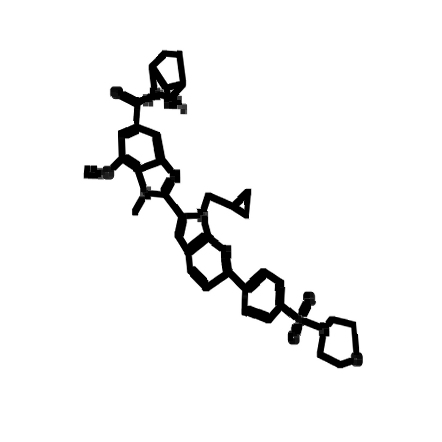 COc1cc(C(=O)N2CC3CCC2[C@@H]3N)cc2nc(-c3cc4ccc(-c5ccc(S(=O)(=O)N6CCOCC6)cc5)nc4n3CC3CC3)n(C)c12